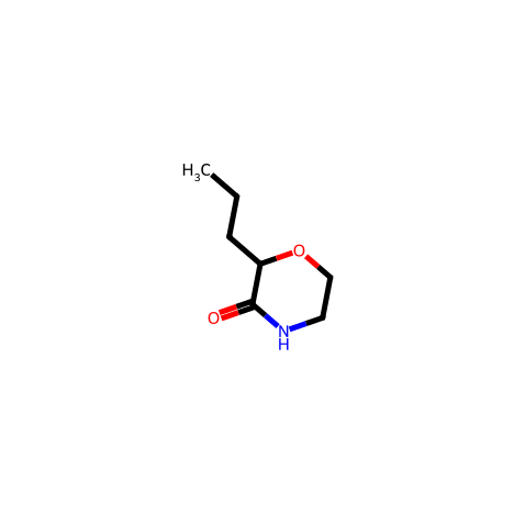 CCCC1OCCNC1=O